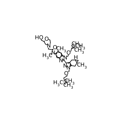 Cc1cc2c(cc1N(C)C(=O)CN1CCOC(CO)C1)nc(-c1nn(COCC[Si](C)(C)C)c3c1C[C@@H]1C[C@]1(C)C3)n2COCC[Si](C)(C)C